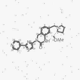 COC[C@H]1CCCN1Cc1ccc2c(c1)NC(=O)N(c1csc(-c3ccncc3)n1)C2